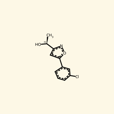 C[C@H](O)c1cc(-c2cccc(Cl)c2)on1